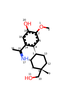 COc1cc([C@H]2CC[C@@](C)(CO)CC2)c(C(C)=N)cc1O